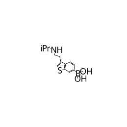 CC(C)NCCc1csc2cc(B(O)O)ccc12